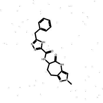 Cn1cc2c(n1)CCC(NC(=O)c1nnc(Cc3ccccc3)[nH]1)C(=O)N2